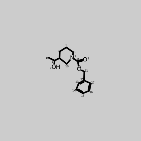 CC(O)C1CCCN(C(=O)OCc2ccccc2)C1